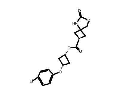 O=C1NC2(CO1)CN(C(=O)O[C@H]1C[C@@H](Oc3ccc(Cl)cc3)C1)C2